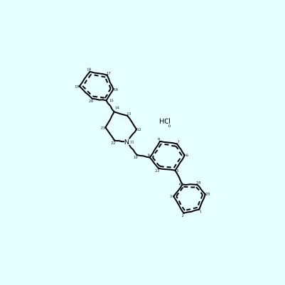 Cl.c1ccc(-c2cccc(CN3CCC(c4ccccc4)CC3)c2)cc1